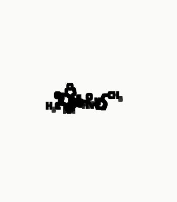 CCc1cccc(NC(=O)c2cc(Cl)c(C34CCOCC3[S+]([O-])N(C)C(=N)N4)s2)n1